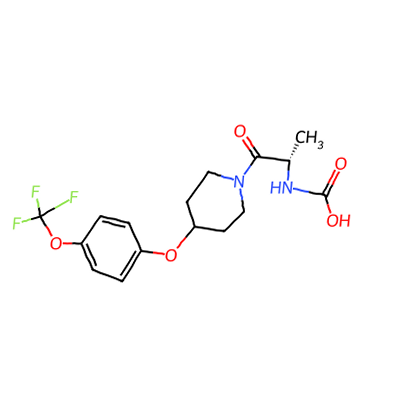 C[C@H](NC(=O)O)C(=O)N1CCC(Oc2ccc(OC(F)(F)F)cc2)CC1